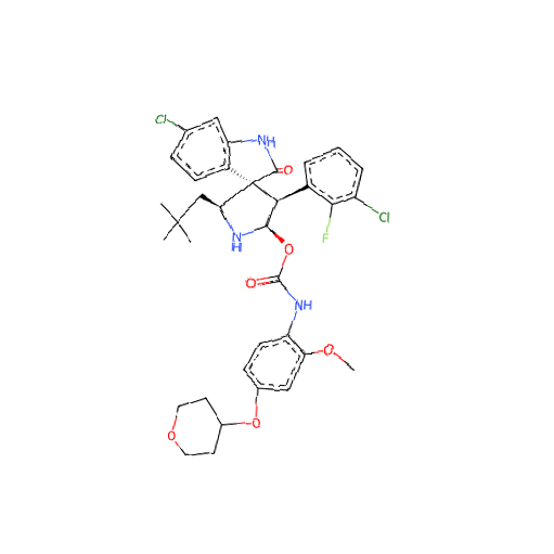 COc1cc(OC2CCOCC2)ccc1NC(=O)O[C@H]1N[C@@H](CC(C)(C)C)[C@@]2(C(=O)Nc3cc(Cl)ccc32)[C@H]1c1cccc(Cl)c1F